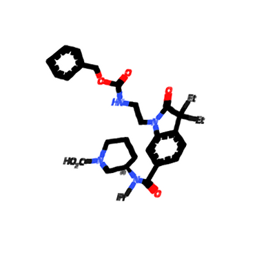 CCC1(CC)C(=O)N(CCNC(=O)OCc2ccccc2)c2cc(C(=O)N(C(C)C)[C@@H]3CCCN(C(=O)O)C3)ccc21